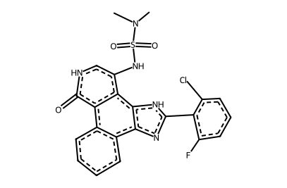 CN(C)S(=O)(=O)Nc1c[nH]c(=O)c2c3ccccc3c3nc(-c4c(F)cccc4Cl)[nH]c3c12